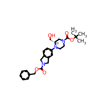 CC(C)(C)OC(=O)N1CCN(c2ccc3c(c2)CN(C(=O)OCc2ccccc2)C3)[C@H](CO)C1